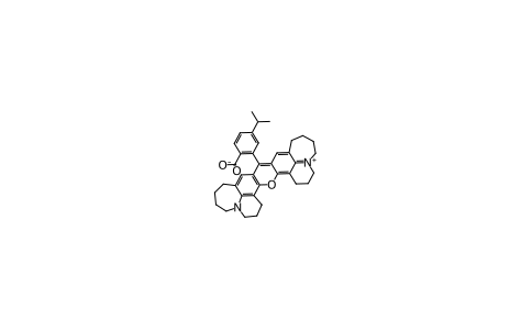 CC(C)c1ccc(C(=O)[O-])c(C2=c3cc4c5c(c3Oc3c2cc2c6c3CCCN6CCCC2)CCC[N+]=5CCCC4)c1